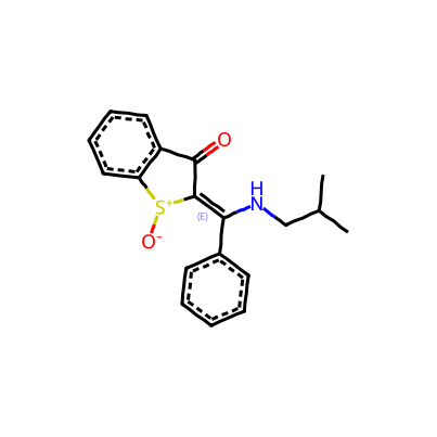 CC(C)CN/C(=C1\C(=O)c2ccccc2[S+]1[O-])c1ccccc1